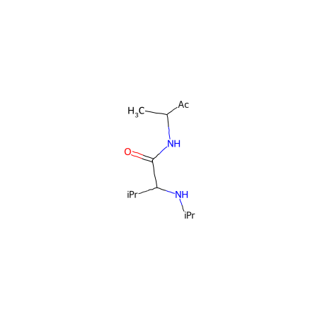 CC(=O)C(C)NC(=O)C(NC(C)C)C(C)C